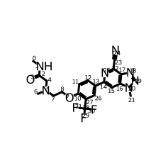 CNC(=O)CN(C)CCOc1ccc(-c2cc3c(nnn3C)c(C#N)n2)cc1C(F)(F)F